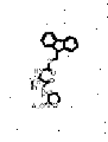 CC(=O)O[C@@H]1OCC[C@@H]1NC(=O)[C@H](CC(C)C)NC(=O)OCC1c2ccccc2-c2ccccc21